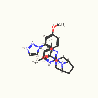 COc1ccc(C(=O)N2CC3CCC(C2)N3c2nc(C)cc(C)n2)c(-n2ccnn2)c1